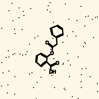 O=C(Cc1ccccc1)Oc1ccccc1C(=O)O